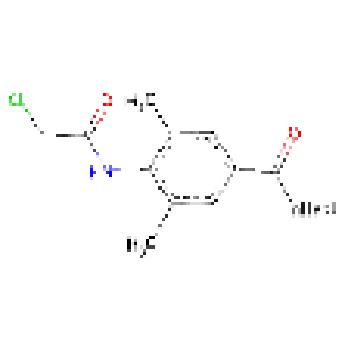 CCCCCCCC(=O)c1cc(C)c(NC(=O)CCl)c(C)c1